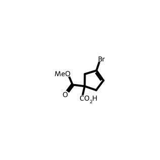 COC(=O)C1(C(=O)O)CC=C(Br)C1